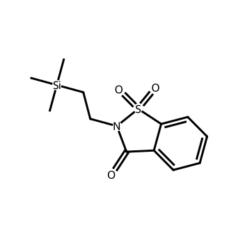 C[Si](C)(C)CCN1C(=O)c2ccccc2S1(=O)=O